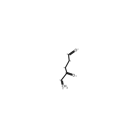 C=CC(=O)CCC=O